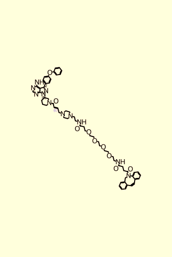 Nc1ncnc2c1c(-c1ccc(Oc3ccccc3)cc1)nn2[C@@H]1CCCN(C(=O)/C=C/CN2CCN(CCNC(=O)CCOCCOCCOCCOCCNC(=O)CCC(=O)N3Cc4ccccc4C#Cc4ccccc43)CC2)C1